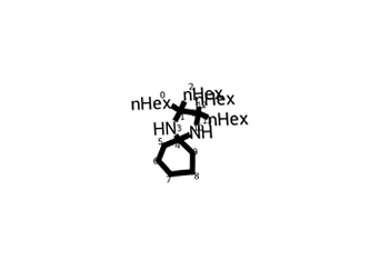 CCCCCCC1(CCCCCC)NC2(CCCCC2)NC1(CCCCCC)CCCCCC